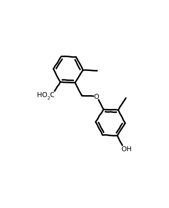 Cc1cc(O)ccc1OCc1c(C)cccc1C(=O)O